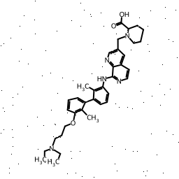 CCN(CC)CCCOc1cccc(-c2cccc(Nc3nccc4cc(CN5CCCCC5C(=O)O)cnc34)c2C)c1C